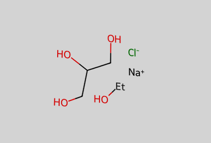 CCO.OCC(O)CO.[Cl-].[Na+]